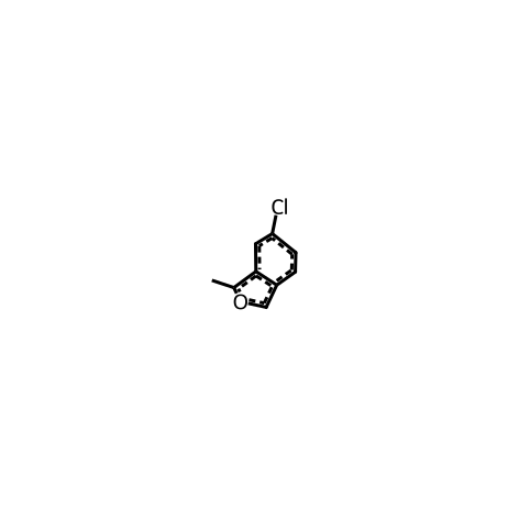 Cc1occ2ccc(Cl)cc12